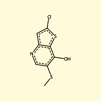 CSc1cnc2cc(Cl)sc2c1O